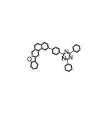 c1ccc(-c2nc(-c3ccccc3)nc(-c3ccc(-c4ccc5ccc6cc7oc8ccccc8c7cc6c5c4)cc3)n2)cc1